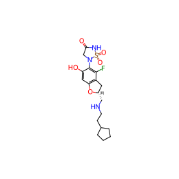 O=C1CN(c2c(O)cc3c(c2F)C[C@H](CNCCC2CCCC2)O3)S(=O)(=O)N1